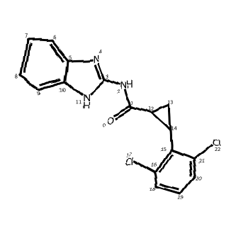 O=C(Nc1nc2ccccc2[nH]1)C1CC1c1c(Cl)cccc1Cl